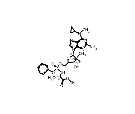 CC(C)OC(=O)[C@H](C)NP(=O)(OCC1O[C@@H](n2cnc3c(N(C)C4CC4)nc(N)nc32)[C@](C)(F)[C@@H]1O)Oc1ccccc1